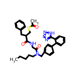 CCCCCN(Cc1ccc(-c2ccccc2-c2nnn[nH]2)cc1)C(=O)CNC(=O)C(CSC(C)=O)Cc1ccccc1